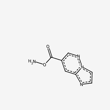 NOC(=O)c1cnn2ccnc2c1